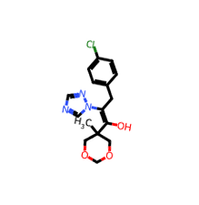 CC1(C(O)=C(Cc2ccc(Cl)cc2)n2cncn2)COCOC1